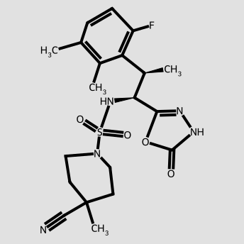 Cc1ccc(F)c([C@@H](C)[C@H](NS(=O)(=O)N2CCC(C)(C#N)CC2)c2n[nH]c(=O)o2)c1C